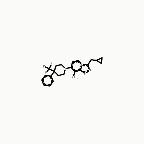 Cc1c(N2CCC(c3ccccc3)(C(F)(F)F)CC2)ccn2c(CC3CC3)nnc12